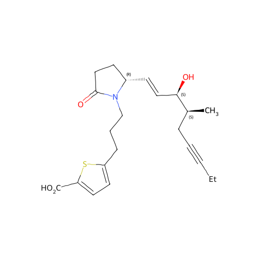 CCC#CC[C@H](C)[C@H](O)C=C[C@H]1CCC(=O)N1CCCc1ccc(C(=O)O)s1